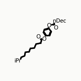 CCCCCCCCCCC(=O)Oc1ccc(OC(=O)CCCCCCCCC(C)C)cc1